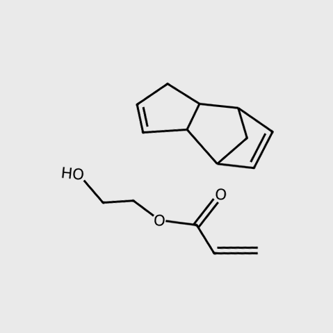 C1=CC2C3C=CC(C3)C2C1.C=CC(=O)OCCO